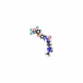 O=C(N1CC2CC(Oc3ccc(F)c(OC(F)(F)F)c3)CC2C1)N1CC2(CC(n3cnc(C4CC4)n3)C2)C1